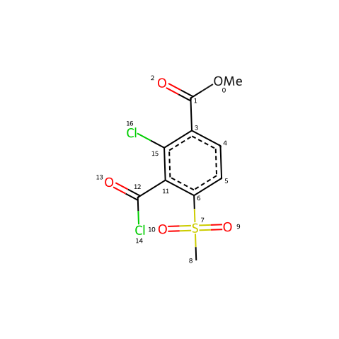 COC(=O)c1ccc(S(C)(=O)=O)c(C(=O)Cl)c1Cl